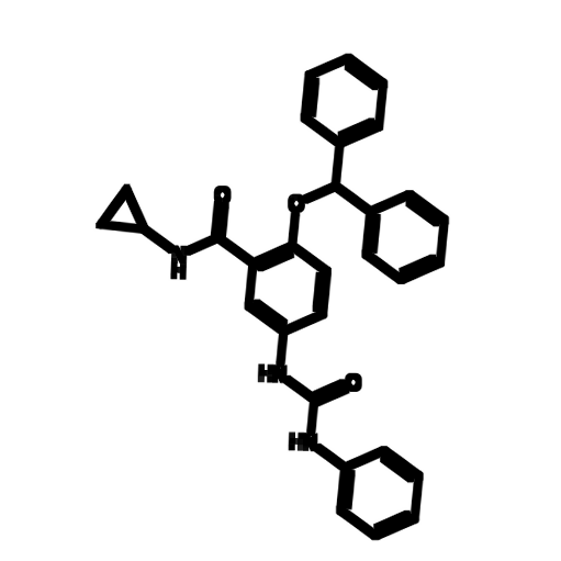 O=C(Nc1ccccc1)Nc1ccc(OC(c2ccccc2)c2ccccc2)c(C(=O)NC2CC2)c1